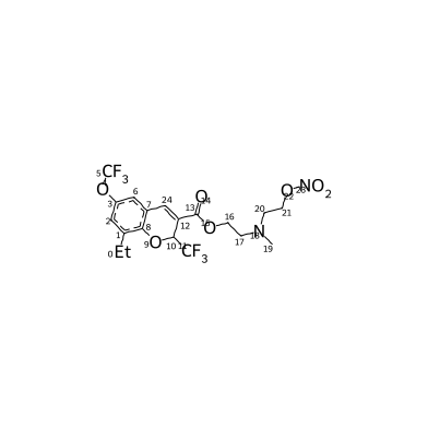 CCc1cc(OC(F)(F)F)cc2c1OC(C(F)(F)F)C(C(=O)OCCN(C)CCO[N+](=O)[O-])=C2